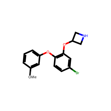 COc1cccc(Oc2ccc(Br)cc2OC2CNC2)c1